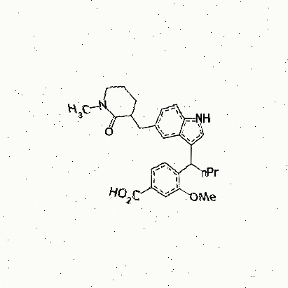 CCCC(c1ccc(C(=O)O)cc1OC)c1c[nH]c2ccc(CC3CCCN(C)C3=O)cc12